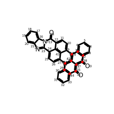 O=c1c2ccccc2n(-c2ccc3c(=O)n4c5ccccc5nc4c4ccc(-n5c6ccccc6c(=O)c6ccccc65)c2c34)c2ccccc12